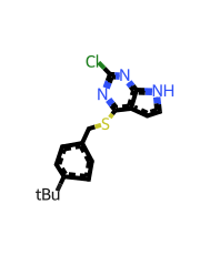 CC(C)(C)c1ccc(CSc2nc(Cl)nc3[nH]ccc23)cc1